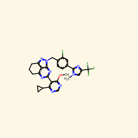 COc1ncnc(C2CC2)c1-c1nc2c3c(nn(Cc4ccc(-c5nc(C(F)(F)F)cn5C)cc4F)c3n1)CCC2